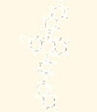 FC(F)(F)c1ccc2c(-c3ccc(-c4ccc5ccccc5c4)cc3)c3ccccc3c(-c3ccc4ccccc4c3)c2c1